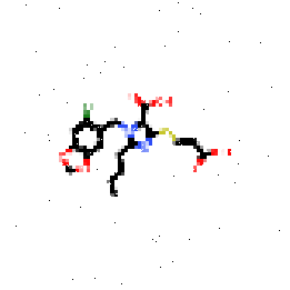 CCCCc1nc(SC=CC(=O)O)c(C(=O)O)n1Cc1cc2c(cc1Cl)OCO2